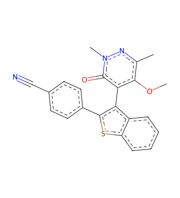 COc1c(C)nn(C)c(=O)c1-c1c(-c2ccc(C#N)cc2)sc2ccccc12